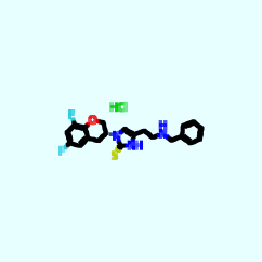 Cl.Fc1cc(F)c2c(c1)C[C@@H](n1cc(CCNCc3ccccc3)[nH]c1=S)CO2